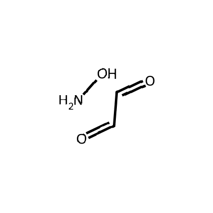 NO.O=CC=O